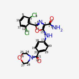 NC(=O)c1nc(-c2c(Cl)cccc2Cl)oc1Nc1ccc(C(=O)N2CCOCC2)cc1